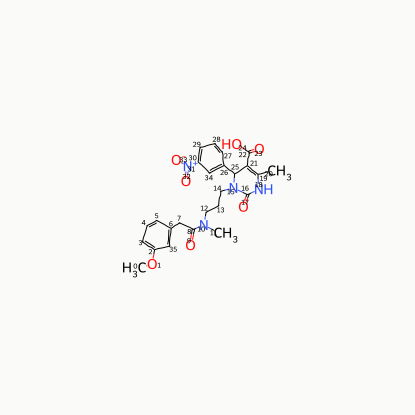 COc1cccc(CC(=O)N(C)CCCN2C(=O)NC(C)=C(C(=O)O)C2c2cccc([N+](=O)[O-])c2)c1